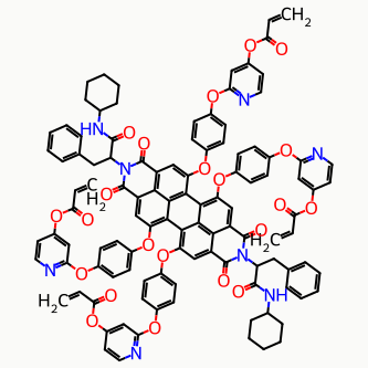 C=CC(=O)Oc1ccnc(Oc2ccc(Oc3cc4c5c(cc(Oc6ccc(Oc7cc(OC(=O)C=C)ccn7)cc6)c6c7c(Oc8ccc(Oc9cc(OC(=O)C=C)ccn9)cc8)cc8c9c(cc(Oc%10ccc(Oc%11cc(OC(=O)C=C)ccn%11)cc%10)c(c3c56)c97)C(=O)N(C(Cc3ccccc3)C(=O)NC3CCCCC3)C8=O)C(=O)N(C(Cc3ccccc3)C(=O)NC3CCCCC3)C4=O)cc2)c1